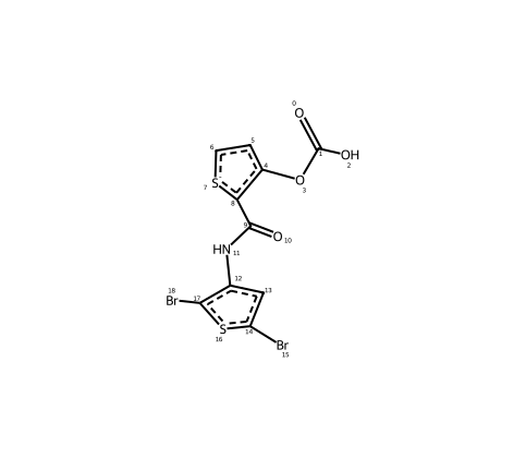 O=C(O)Oc1ccsc1C(=O)Nc1cc(Br)sc1Br